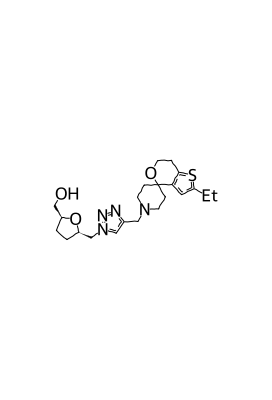 CCc1cc2c(s1)CCOC21CCN(Cc2cn(C[C@H]3CC[C@@H](CO)O3)nn2)CC1